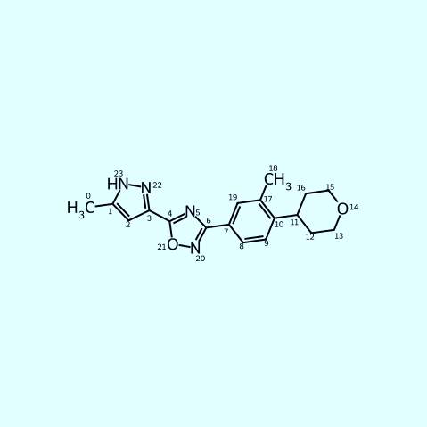 Cc1cc(-c2nc(-c3ccc(C4CCOCC4)c(C)c3)no2)n[nH]1